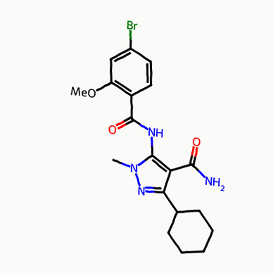 COc1cc(Br)ccc1C(=O)Nc1c(C(N)=O)c(C2CCCCC2)nn1C